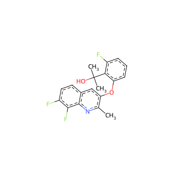 Cc1nc2c(F)c(F)ccc2cc1Oc1cccc(F)c1C(C)(C)O